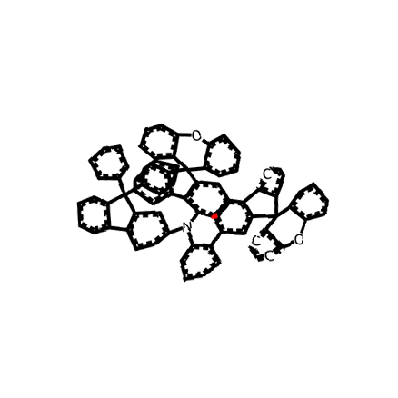 c1ccc(C2(c3ccccc3)c3ccccc3-c3ccc(N(c4ccccc4-c4ccc5c(c4)C4(c6ccccc6Oc6ccccc64)c4ccccc4-5)c4cccc5c4-c4ccccc4C54c5ccccc5Oc5ccccc54)cc32)cc1